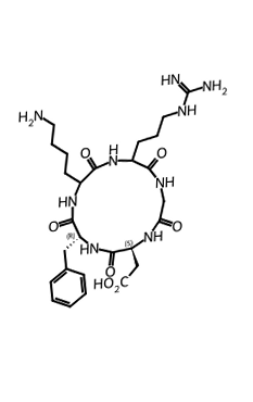 N=C(N)NCCCC1NC(=O)C(CCCCN)NC(=O)[C@@H](Cc2ccccc2)NC(=O)[C@H](CC(=O)O)NC(=O)CNC1=O